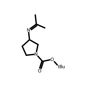 CC(C)=NC1CCN(C(=O)OC(C)(C)C)C1